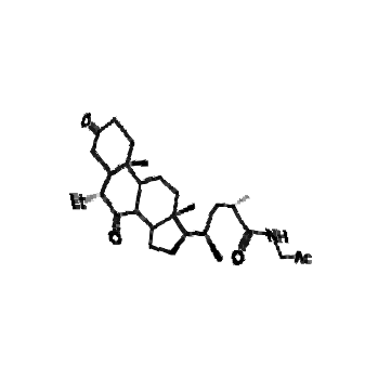 CC[C@H]1C(=O)C2C(CC[C@@]3(C)C2CC[C@@H]3[C@H](C)C[C@H](C)C(=O)NCC(C)=O)[C@@]2(C)CCC(=O)CC12